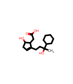 CC(O)(CCC1=CCC(O)C1CC(=O)O)C1CCCCC1